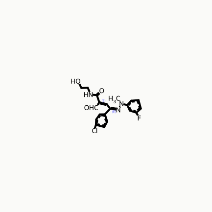 CN(/N=C(\C=C(/C=O)C(=O)NCCO)c1ccc(Cl)cc1)c1cccc(F)c1